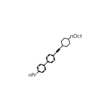 CCCCCCCCC1CCC(C#Cc2ccc(-c3ccc(CCC)cc3)cc2)CC1